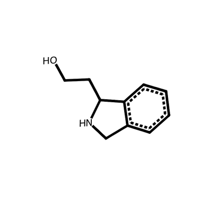 OCCC1NCc2ccccc21